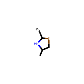 CC1CSC(C(C)C)N1